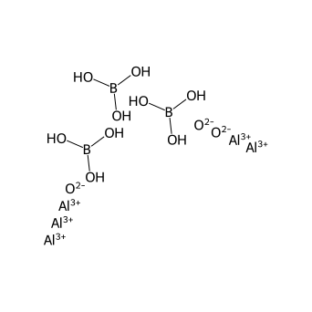 OB(O)O.OB(O)O.OB(O)O.[Al+3].[Al+3].[Al+3].[Al+3].[Al+3].[O-2].[O-2].[O-2]